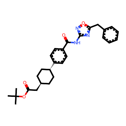 CC(C)(C)OC(=O)C[C@H]1CC[C@H](c2ccc(C(=O)Nc3noc(Cc4ccccc4)n3)cc2)CC1